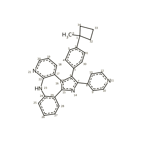 CC1(c2ccc(-c3c(-c4ccncc4)nc4n3-c3cccnc3Nc3ccccc3-4)cc2)CCC1